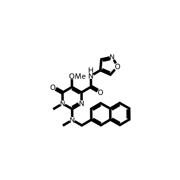 COc1c(C(=O)Nc2cnoc2)nc(N(C)Cc2ccc3ccccc3c2)n(C)c1=O